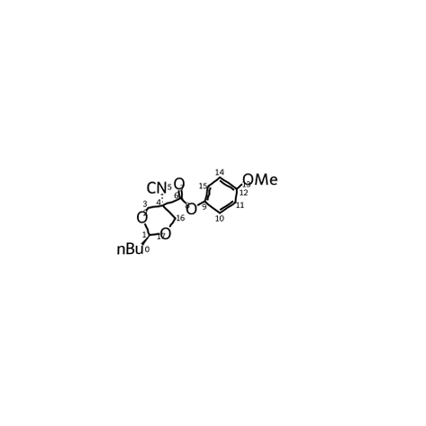 CCCC[C@H]1OC[C@@](C#N)(C(=O)Oc2ccc(OC)cc2)CO1